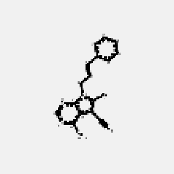 N#Cc1c(Br)n(CC=Cc2ccccc2)c2ncnc(N)c12